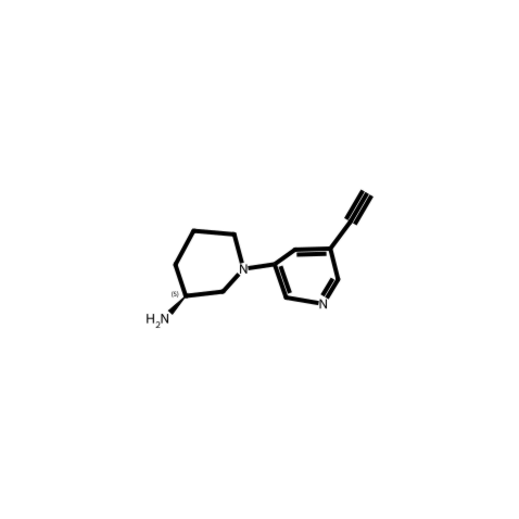 C#Cc1cncc(N2CCC[C@H](N)C2)c1